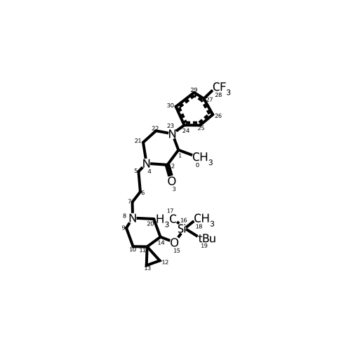 CC1C(=O)N(CCCN2CCC3(CC3)C(O[Si](C)(C)C(C)(C)C)C2)CCN1c1ccc(C(F)(F)F)cc1